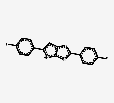 Fc1ccc(-c2cc3sc(-c4ccc(F)cc4)nc3[nH]2)cc1